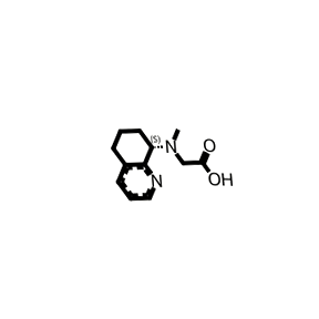 CN(CC(=O)O)[C@H]1CCCc2cccnc21